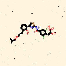 CO/C(=C/c1c(F)cc(C(=O)Nc2nc(-c3cccc(CCCOCC(C)C)c3OC)cs2)cc1F)C(=O)O